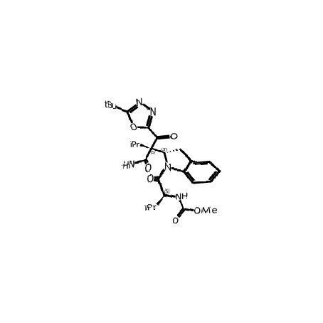 COC(=O)N[C@H](C(=O)N1c2ccccc2C[C@H]1[C@](C([NH])=O)(C(=O)c1nnc(C(C)(C)C)o1)C(C)C)C(C)C